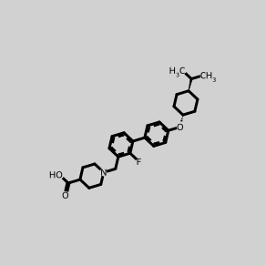 CC(C)[C@H]1CC[C@H](Oc2ccc(-c3cccc(CN4CCC(C(=O)O)CC4)c3F)cc2)CC1